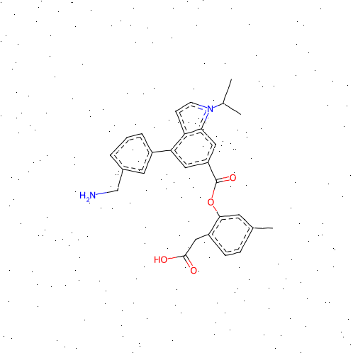 Cc1ccc(CC(=O)O)c(OC(=O)c2cc(-c3cccc(CN)c3)c3ccn(C(C)C)c3c2)c1